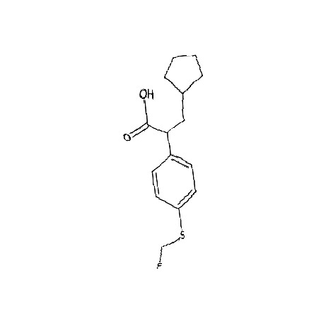 O=C(O)C(CC1CCCC1)c1ccc(SCF)cc1